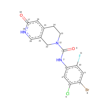 O=C(Nc1cc(Cl)c(Br)cc1F)N1CCc2cc(=O)[nH]cc2C1